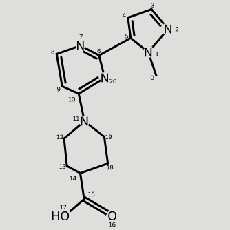 Cn1nccc1-c1nccc(N2CCC(C(=O)O)CC2)n1